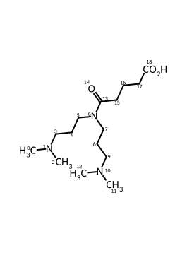 CN(C)CCCN(CCCN(C)C)C(=O)CCCC(=O)O